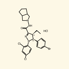 CC[C@@H]1C(C(=O)NN2CC3CCCC3C2)=NN(c2ccc(Cl)cc2Cl)[C@@H]1c1ccc(Br)cc1.Cl